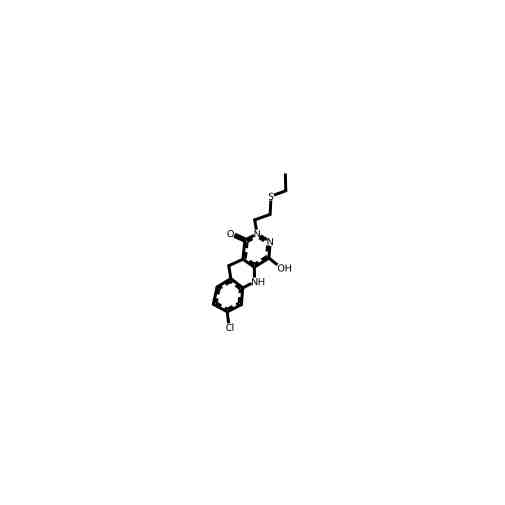 CCSCCn1nc(O)c2c(c1=O)Cc1ccc(Cl)cc1N2